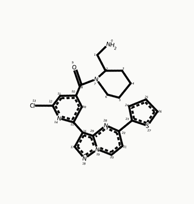 NCC1CCCCN1C(=O)c1cc(Cl)nc(-c2cnn3ccc(-c4cccs4)nc23)c1